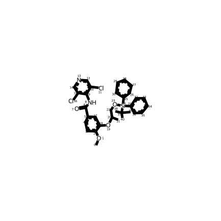 COc1ccc(C(=O)Nc2c(Cl)cncc2Cl)cc1OC(C)CO[Si](c1ccccc1)(c1ccccc1)C(C)(C)C